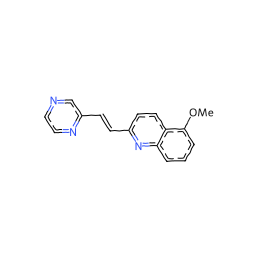 COc1cccc2nc(/C=C/c3cnccn3)ccc12